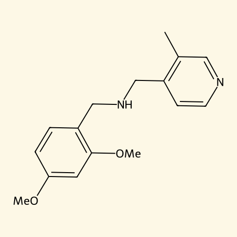 COc1ccc(CNCc2ccncc2C)c(OC)c1